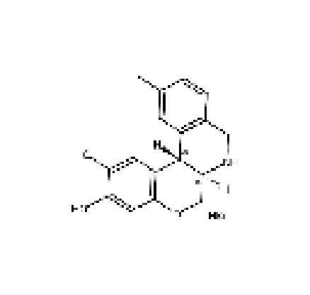 Br.Cc1ccc2c(c1)[C@H]1c3cc(O)c(O)cc3OC[C@@H]1NC2